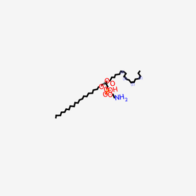 CC/C=C\C/C=C\C/C=C\C/C=C\CCCCC(=O)O[C@H](COCCCCCCCCCCCCCCCCCCCC)COP(=O)(O)OCCN